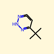 CC(C)(C)C1=NNN=C=C1